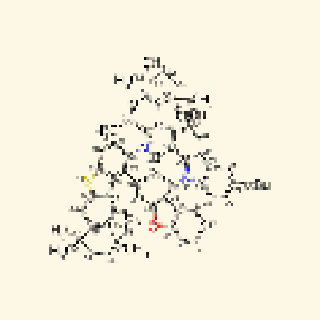 Cc1cc2c(cc1N1B3c4c(cc5oc6ccccc6c5c4-n4c5ccc(C(C)(C)C)cc5c5cc(C(C)(C)C)cc3c54)-c3c1ccc1sc4cc5c(cc4c31)C(C)(C)CCC5(C)C)C(C)(C)CCC2(C)C